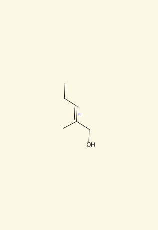 CC/C=C(\C)CO